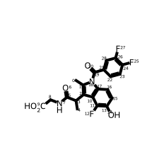 Cc1c(C(C)C(=O)NCC(=O)O)c2c(F)c(O)ccc2n1C(=O)c1ccc(F)c(F)c1